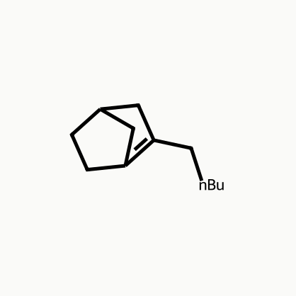 CCCCCC1=C2CCC(C1)C2